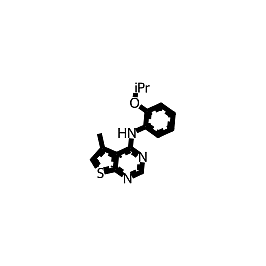 Cc1csc2ncnc(Nc3ccccc3OC(C)C)c12